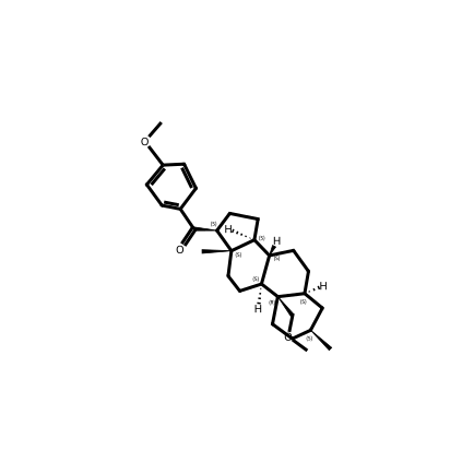 COC[C@]12CC[C@H](C)C[C@@H]1CC[C@H]1[C@@H]3CC[C@H](C(=O)c4ccc(OC)cc4)[C@@]3(C)CC[C@@H]12